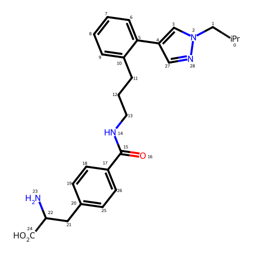 CC(C)Cn1cc(-c2ccccc2CCCNC(=O)c2ccc(CC(N)C(=O)O)cc2)cn1